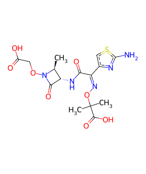 C[C@H]1[C@H](NC(=O)/C(=N\OC(C)(C)C(=O)O)c2csc(N)n2)C(=O)N1OCC(=O)O